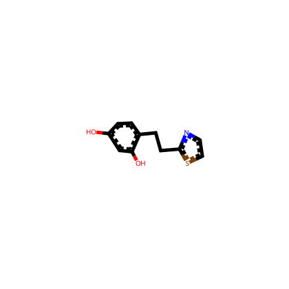 Oc1ccc(CCc2nccs2)c(O)c1